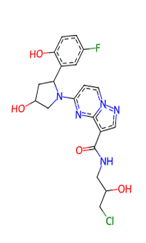 O=C(NCC(O)CCl)c1cnn2ccc(N3CC(O)CC3c3cc(F)ccc3O)nc12